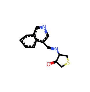 O=C1CSCC1N=Cc1cncc2ccccc12